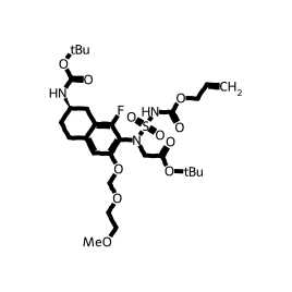 C=CCOC(=O)NS(=O)(=O)N(CC(=O)OC(C)(C)C)c1c(OCOCCOC)cc2c(c1F)C[C@H](NC(=O)OC(C)(C)C)CC2